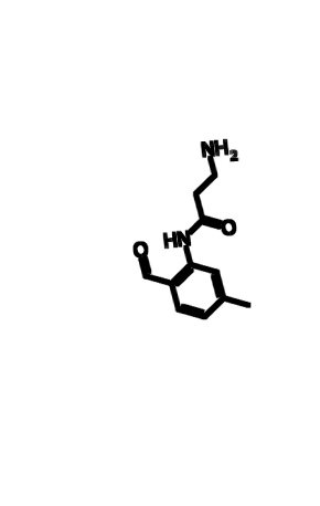 Cc1ccc(C=O)c(NC(=O)CCN)c1